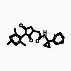 Cc1cc(C)c(C2C(=O)CC(CC(=O)NC3(c4ccccn4)CC3)C2=O)c(C)c1